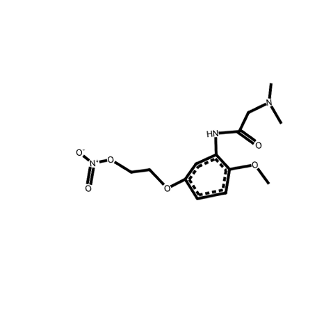 COc1ccc(OCCO[N+](=O)[O-])cc1NC(=O)CN(C)C